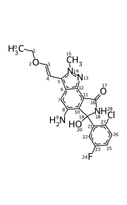 CCO/C=C/c1c2cc(N)c3c(c2nn1C)C(=O)NC3(O)c1cc(F)ccc1Cl